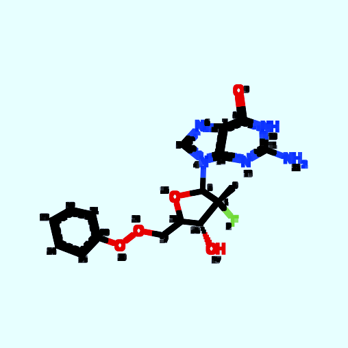 C[C@]1(F)C(n2cnc3c(=O)[nH]c(N)nc32)OC(COOc2ccccc2)[C@H]1O